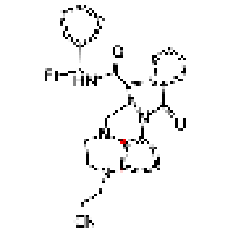 CC[C@H](NC(=O)c1c(CN2CCN(CCC#N)CC2)n(-c2ccccc2)c(=O)c2ccccc12)c1ccccc1